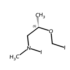 C[C@@H](CN(C)I)OCI